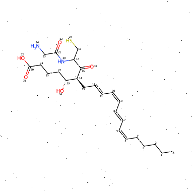 CCCCC\C=C/C=C/C=C\C=CC[C@H](C(=O)C(CS)NC(=O)CN)[C@H](O)CCCC(=O)O